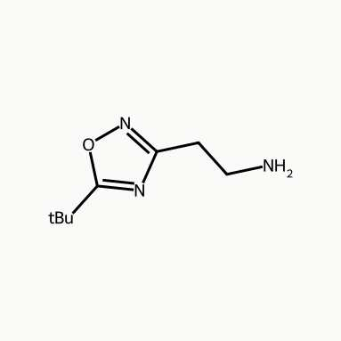 CC(C)(C)c1nc(CCN)no1